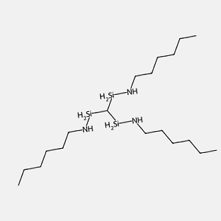 CCCCCCN[SiH2]C([SiH2]NCCCCCC)[SiH2]NCCCCCC